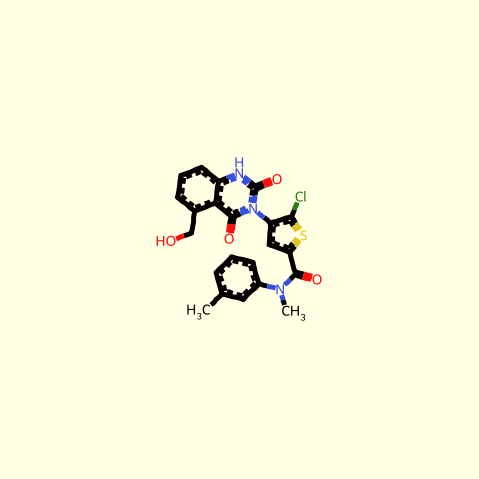 Cc1cccc(N(C)C(=O)c2cc(-n3c(=O)[nH]c4cccc(CO)c4c3=O)c(Cl)s2)c1